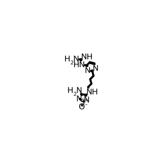 N=C(N)Nc1ccnc(CCCCNc2n[s+]([O-])nc2N)n1